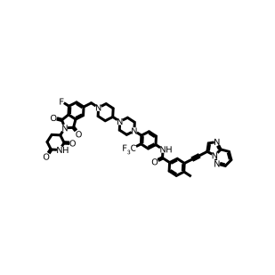 Cc1ccc(C(=O)Nc2ccc(N3CCN(C4CCN(Cc5cc(F)c6c(c5)C(=O)N(C5CCC(=O)NC5=O)C6=O)CC4)CC3)c(C(F)(F)F)c2)cc1C#Cc1cnc2cccnn12